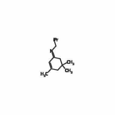 CC1=CC(=NCC(C)C)CC(C)(C)C1